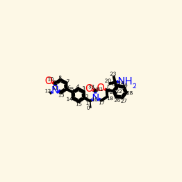 C[C@@H](c1ccc(-c2ccc(=O)n(C)c2)cc1)N1CC[C@](CC(C)(C)N)(c2ccccc2)OC1=O